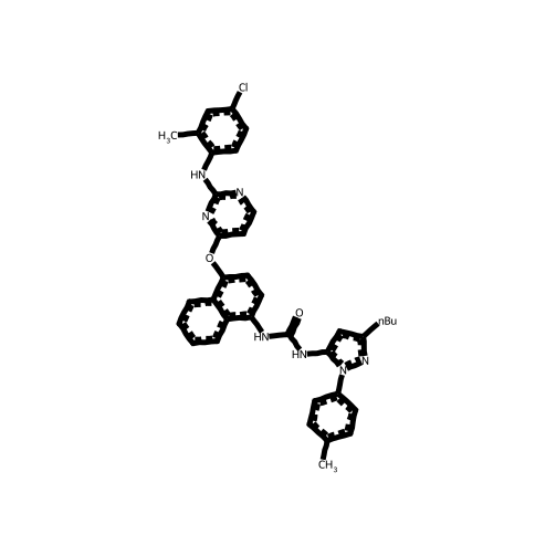 CCCCc1cc(NC(=O)Nc2ccc(Oc3ccnc(Nc4ccc(Cl)cc4C)n3)c3ccccc23)n(-c2ccc(C)cc2)n1